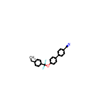 CCc1ccc(C(F)(F)Oc2ccc(-c3ccc(C#N)cc3)cc2)cc1